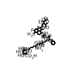 CC[C@@]1(O)C(=O)OCc2c1cc1n(c2=O)Cc2c-1nc1cc(F)c(C)c3c1c2[C@@H](NC(=O)CNC(=O)[C@H](Cc1ccccc1)NC(=O)CNC(=O)CNC(=O)[C@@H](N)CCCC(=O)N[C@H]1O[C@H](C(=O)O)[C@@H](O)[C@H](O)[C@H]1O)CC3